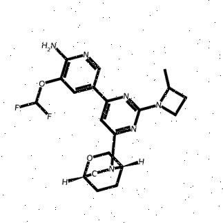 CC1CCN1c1nc(-c2cnc(N)c(OC(F)F)c2)cc(N2C[C@@H]3CC[C@H]2CO3)n1